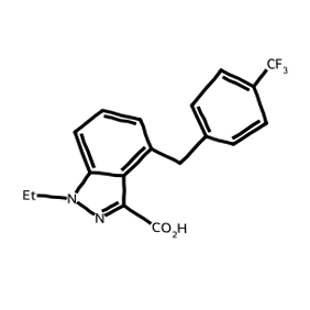 CCn1nc(C(=O)O)c2c(Cc3ccc(C(F)(F)F)cc3)cccc21